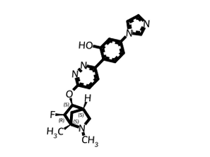 CN1C[C@@H]2C[C@@]1(C)[C@@H](F)[C@H]2Oc1ccc(-c2ccc(-n3ccnc3)cc2O)nn1